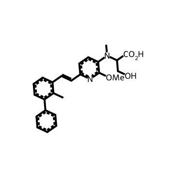 COc1nc(C=Cc2cccc(-c3ccccc3)c2C)ccc1N(C)C(CO)C(=O)O